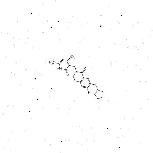 Cc1cc(C)c(CN2CCc3cc(Cl)c(OC4CCCC4)cc3C2=O)c(=O)[nH]1